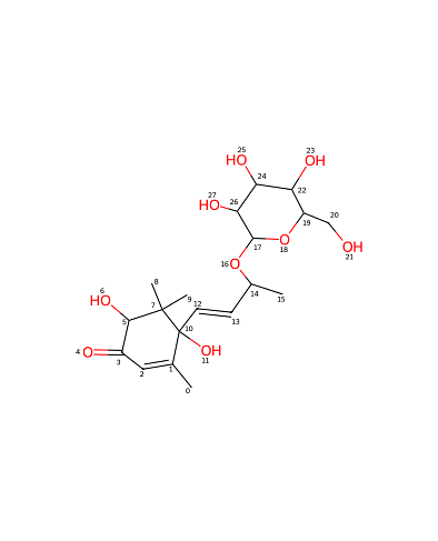 CC1=CC(=O)C(O)C(C)(C)C1(O)C=CC(C)OC1OC(CO)C(O)C(O)C1O